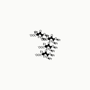 CCC(CC)(C(=O)[O-])C(=O)C(OC(C)C)OC(C)C.CCC(CC)(C(=O)[O-])C(=O)C(OC(C)C)OC(C)C.CCC(CC)(C(=O)[O-])C(=O)C(OC(C)C)OC(C)C.CCC(CC)(C(=O)[O-])C(=O)C(OC(C)C)OC(C)C.[Ti+4]